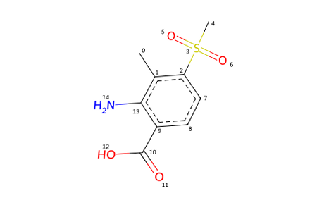 Cc1c(S(C)(=O)=O)ccc(C(=O)O)c1N